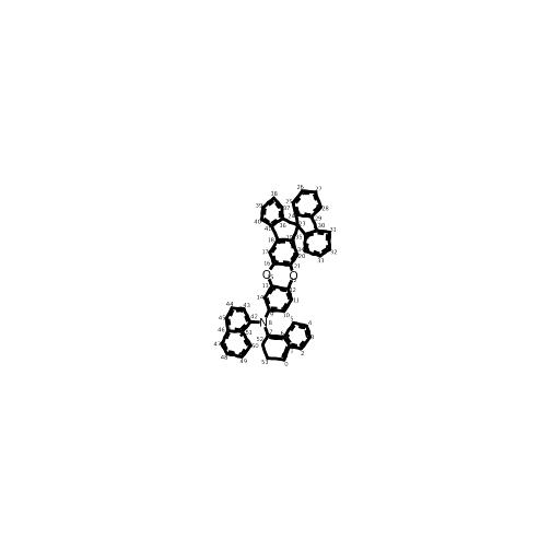 C1=c2ccccc2=C(N(c2ccc3c(c2)Oc2cc4c(cc2O3)C2(c3ccccc3-c3ccccc32)c2ccccc2-4)c2cccc3ccccc23)CC1